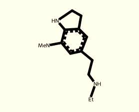 CCNCCc1cc2c(c(NC)c1)NCC2